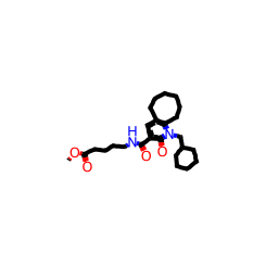 COC(=O)CCCCNC(=O)c1cc2c(n(CC3CCCCC3)c1=O)CCCCCC2